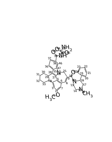 COc1ccc2c(c1)C=C(C(=O)N1CCN(C)CC1c1ccccc1)Cn1c-2c(C2CCCCC2)c2ccc(C(=O)NS(N)(=O)=O)cc21